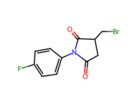 O=C1CC(CBr)C(=O)N1c1ccc(F)cc1